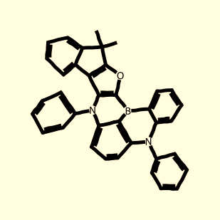 CC1(C)c2ccccc2-c2c1oc1c2N(c2ccccc2)c2cccc3c2B1c1ccccc1N3c1ccccc1